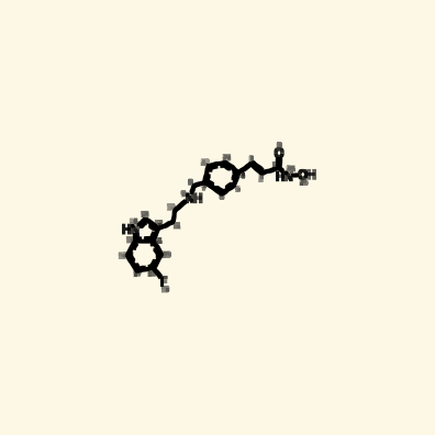 O=C(C=Cc1ccc(CNCCc2c[nH]c3ccc(F)cc23)cc1)NO